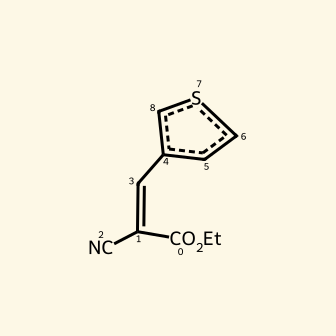 CCOC(=O)/C(C#N)=C\c1ccsc1